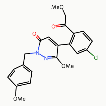 COCC(=O)c1ccc(Cl)cc1-c1cc(=O)n(Cc2ccc(OC)cc2)nc1OC